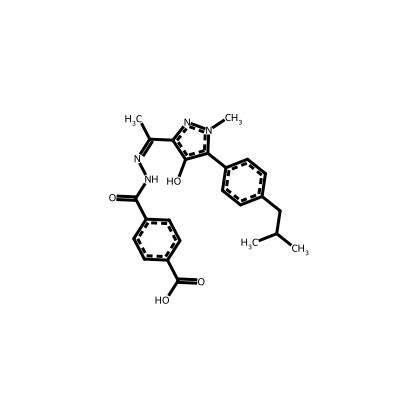 C/C(=N/NC(=O)c1ccc(C(=O)O)cc1)c1nn(C)c(-c2ccc(CC(C)C)cc2)c1O